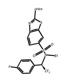 CCCCCCc1nc2ccc(S(=O)(=O)N(CC)[C@H](c3ccc(F)cc3)C(F)(F)F)cc2s1